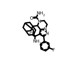 NC(=O)c1c(-c2cccc(F)c2)nn2c1C(C13CC4CC(CC(C4)C1)C3)N(C(N)=O)CC2